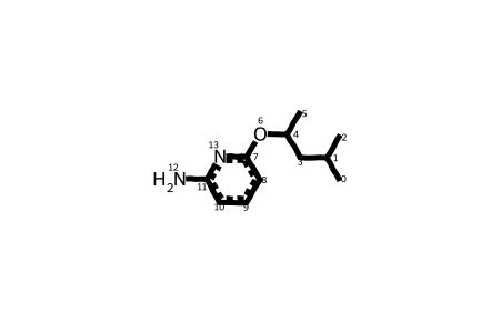 CC(C)CC(C)Oc1cccc(N)n1